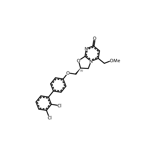 COCc1cc(=O)nc2n1C[C@@H](COc1ccc(-c3cccc(Cl)c3Cl)cc1)O2